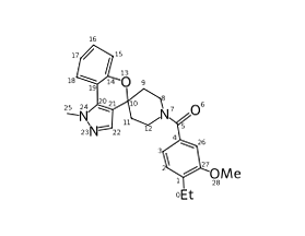 CCc1ccc(C(=O)N2CCC3(CC2)Oc2ccccc2-c2c3cnn2C)cc1OC